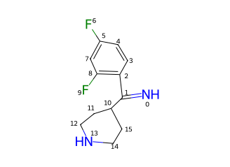 N=C(c1ccc(F)cc1F)C1CCNCC1